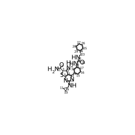 NC(=O)C1Sc2nc(NC3CC3)nc(-c3cccc(NC(=O)NCc4ccccc4)c3)c2C1N